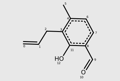 C=CCc1c(C)ccc(C=O)c1O